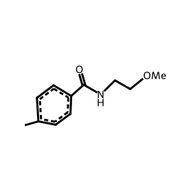 COCCNC(=O)c1ccc(C)cc1